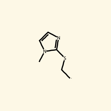 [CH2]CSc1nccn1C